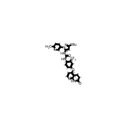 Cc1ccc(-n2nc(C(C)(C)C)cc2NC(=O)Nc2ccc(Oc3ccnc4c3CCC(=O)N4)cc2C(F)(F)F)cn1